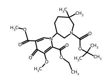 CCOC(=O)c1c(OC)c(=O)c(C(=O)OC)cn1C1CCC(C)(C)CN(C(=O)OC(C)(C)C)C1